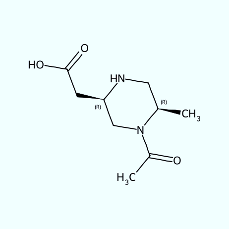 CC(=O)N1C[C@@H](CC(=O)O)NC[C@H]1C